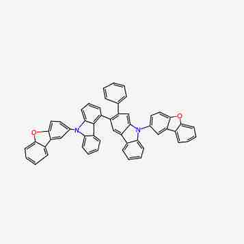 c1ccc(-c2cc3c(cc2-c2cccc4c2c2ccccc2n4-c2ccc4oc5ccccc5c4c2)c2ccccc2n3-c2ccc3oc4ccccc4c3c2)cc1